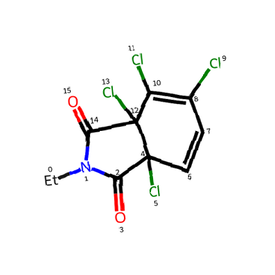 CCN1C(=O)C2(Cl)C=CC(Cl)=C(Cl)C2(Cl)C1=O